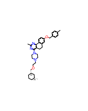 Cc1ccc(COc2ccc3c(c2)CCc2c-3nc(C)nc2N2CCN(CCOC[C@H]3CCC[C@@H](C)C3)CC2)cc1